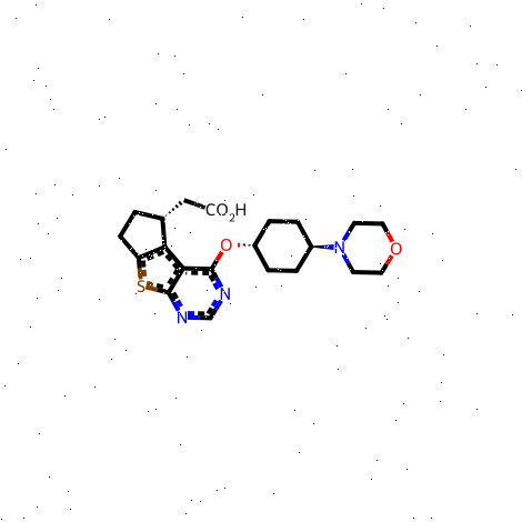 O=C(O)C[C@H]1CCc2sc3ncnc(O[C@H]4CC[C@H](N5CCOCC5)CC4)c3c21